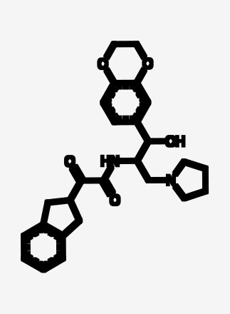 O=C(NC(CN1CCCC1)C(O)c1ccc2c(c1)OCCO2)C(=O)C1Cc2ccccc2C1